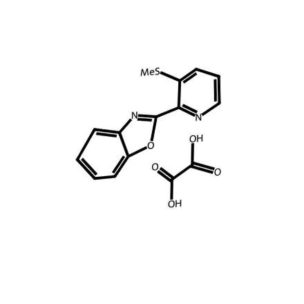 CSc1cccnc1-c1nc2ccccc2o1.O=C(O)C(=O)O